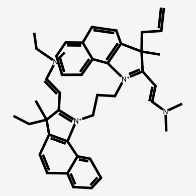 C=CCC1(C)C(/C=C/N(C)C)=[N+](CCC[N+]2=C(/C=C/N(C)CC)C(C)(CC)c3ccc4ccccc4c32)c2c1ccc1ccccc21